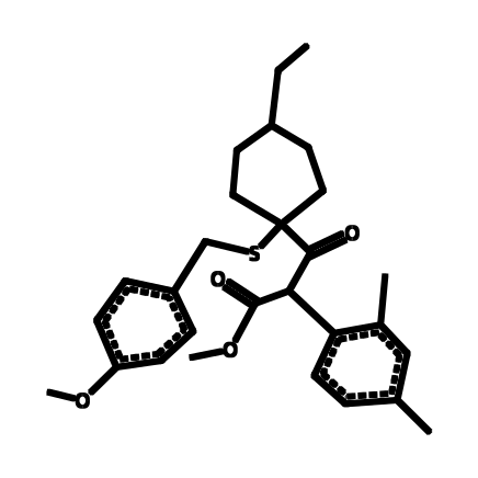 CCC1CCC(SCc2ccc(OC)cc2)(C(=O)C(C(=O)OC)c2ccc(C)cc2C)CC1